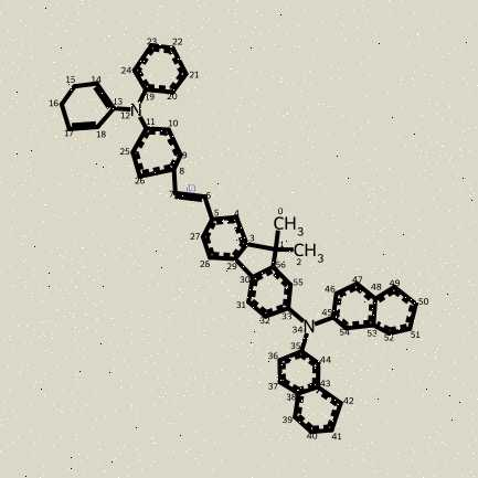 CC1(C)c2cc(/C=C/c3ccc(N(C4=CCCC=C4)c4ccccc4)cc3)ccc2-c2ccc(N(c3ccc4ccccc4c3)c3ccc4ccccc4c3)cc21